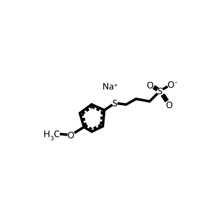 COc1ccc(SCCCS(=O)(=O)[O-])cc1.[Na+]